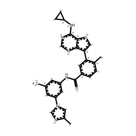 Cc1cn(-c2cc(NC(=O)c3ccc(C)c(-c4csc5c(NC6CC6)ncnc45)c3)cc(C(F)(F)F)c2)cn1